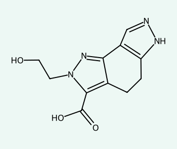 O=C(O)c1c2c(nn1CCO)-c1cn[nH]c1CC2